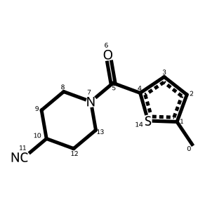 Cc1ccc(C(=O)N2CCC(C#N)CC2)s1